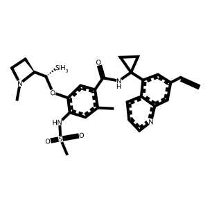 C=Cc1cc(C2(NC(=O)c3cc(O[C@@H]([SiH3])[C@@H]4CCN4C)c(NS(C)(=O)=O)cc3C)CC2)c2cccnc2c1